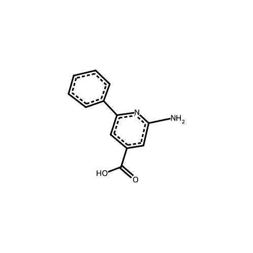 Nc1cc(C(=O)O)cc(-c2ccccc2)n1